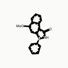 COc1cc2c(c(=O)[nH]n2-c2ccccc2)c2ccccc12